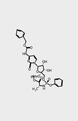 CO[C@]1(COP(=O)(N[C@H](C)C(=O)OC(C)C)Oc2ccccc2)O[C@@H](n2ccc(NC(=O)OCc3ccccc3)nc2=O)[C@H](O)[C@@H]1O